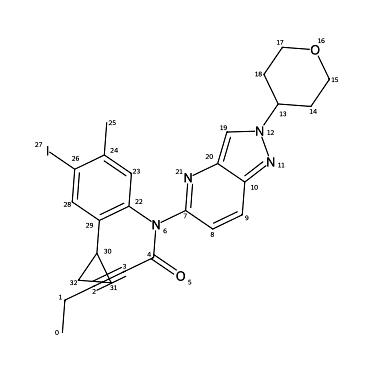 CCC#CC(=O)N(c1ccc2nn(C3CCOCC3)cc2n1)c1cc(C)c(I)cc1C1CC1